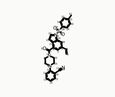 C=Cc1cc(C(=O)N2CCN(c3ccccc3C#N)CC2)c2ccn(S(=O)(=O)c3ccc(C)cc3)c2c1